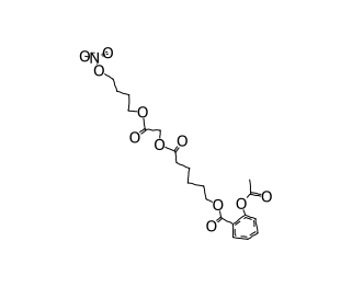 CC(=O)Oc1ccccc1C(=O)OCCCCCC(=O)OCC(=O)OCCCCO[N+](=O)[O-]